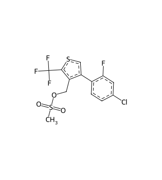 CS(=O)(=O)OCc1c(-c2ccc(Cl)cc2F)csc1C(F)(F)F